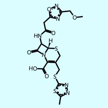 COCc1noc(CC(=O)NC2C(=O)N3C(C(=O)O)=C(CSc4nnc(C)s4)CS[C@@H]23)n1